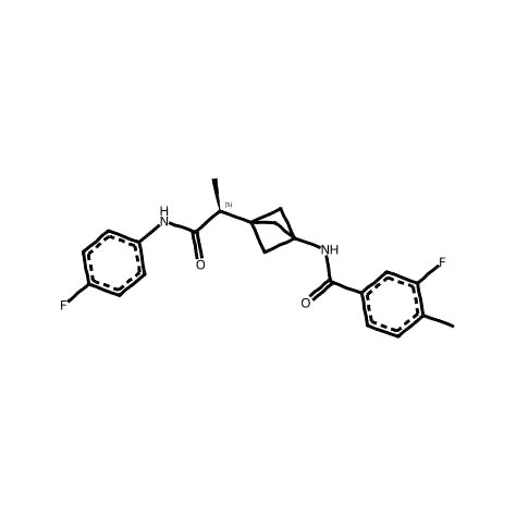 Cc1ccc(C(=O)NC23CC([C@H](C)C(=O)Nc4ccc(F)cc4)(C2)C3)cc1F